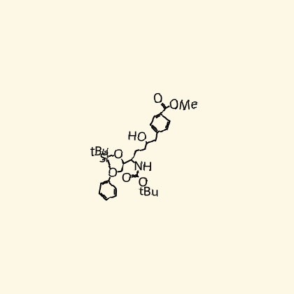 COC(=O)c1ccc(CC(O)CC[C@@H](NC(=O)OC(C)(C)C)[C@@H](COc2ccccc2)O[Si](C)(C)C(C)(C)C)cc1